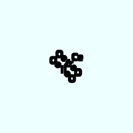 [Ce].[O]=[Ti]=[O].[O]=[Zr]=[O]